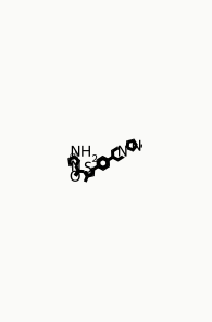 Cc1cc(-c2ccc(C3CCN(C4CCN(C)C4)CC3)cc2)sc1C(=O)N1CC[C@H](N)C1